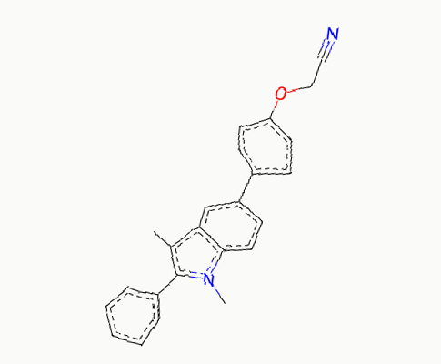 Cc1c(-c2ccccc2)n(C)c2ccc(-c3ccc(OCC#N)cc3)cc12